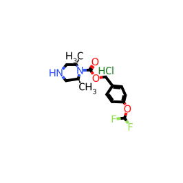 C[C@@H]1CNC[C@H](C)N1C(=O)OCc1ccc(OC(F)F)cc1.Cl